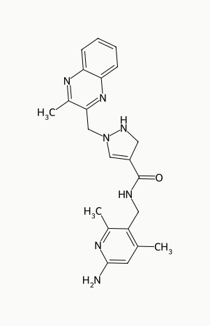 Cc1cc(N)nc(C)c1CNC(=O)C1=CN(Cc2nc3ccccc3nc2C)NC1